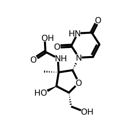 C[C@@]1(NC(=O)O)[C@H](O)[C@@H](CO)O[C@H]1n1ccc(=O)[nH]c1=O